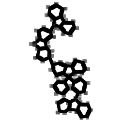 C1=Cc2c(c3ccccc3n2-c2cccc(C3(c4ccccc4)c4ccccc4-c4cc(-c5ccc6oc7ccc(-n8c9ccccc9c9ccccc98)cc7c6c5)ccc43)c2)CC1